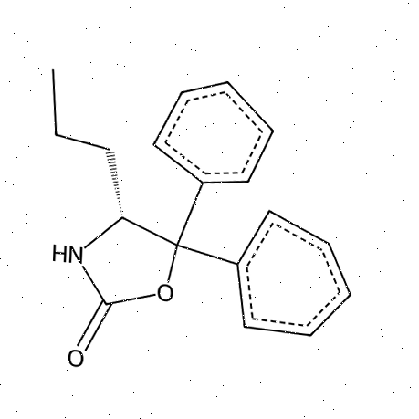 CCC[C@H]1NC(=O)OC1(c1ccccc1)c1ccccc1